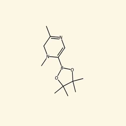 CC1=NC=C(B2OC(C)(C)C(C)(C)O2)N(C)C1